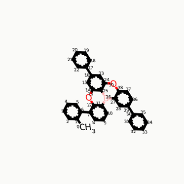 Cc1ccccc1-c1cccc2c1Oc1cc(-c3ccccc3)cc3c1B2c1cc(-c2ccccc2)ccc1O3